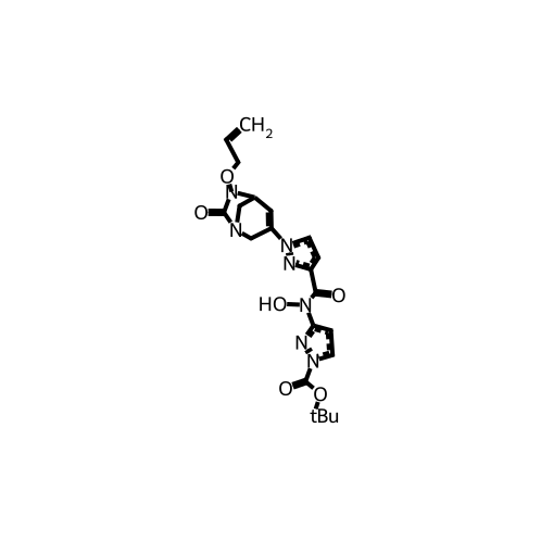 C=CCON1C(=O)N2CC(n3ccc(C(=O)N(O)c4ccn(C(=O)OC(C)(C)C)n4)n3)=CC1C2